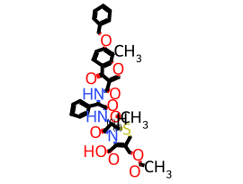 CO[C@@]1(NC(=O)C(NC(=O)c2coc3c(C)c(OCc4ccccc4)ccc3c2=O)c2ccccc2)C(=O)N2C(C(=O)O)=C(COC(C)=O)CS[C@H]21